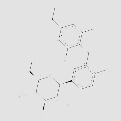 CCc1cc(F)c(Cc2cc([C@@H]3O[C@H](CO)[C@@H](O)[C@H](O)[C@H]3O)ccc2C)c(F)c1